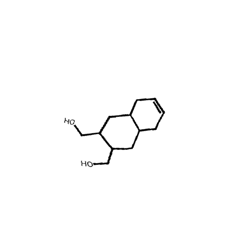 OCC1CC2CC=CCC2CC1CO